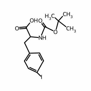 CC(C)(C)OC(=O)NC(Cc1ccc(I)cc1)C(=O)O